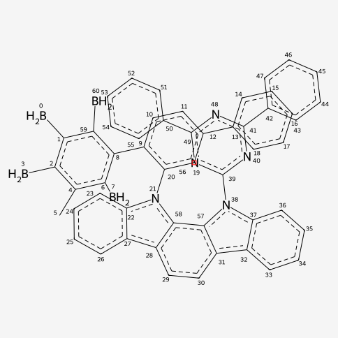 Bc1c(B)c(C)c(B)c(-c2ccc(-c3ccccc3)cc2-n2c3ccccc3c3ccc4c5ccccc5n(-c5nc(-c6ccccc6)nc(-c6ccccc6)n5)c4c32)c1B